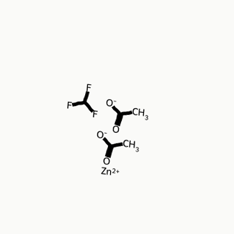 CC(=O)[O-].CC(=O)[O-].FC(F)F.[Zn+2]